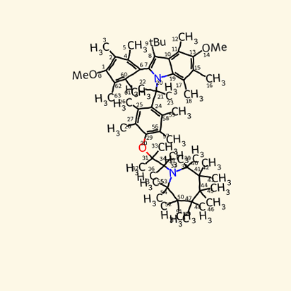 COc1c(C)c(C)c(-c2c(C(C)(C)C)c3c(C)c(OC)c(C)c(C)c3n2C(C)(C)c2c(C)c(C)c(OC(C)(C)C(C)(C)N3C(C)(C)C(C)(C)C(C)(C)C(C)(C)C(C)(C)C3(C)C)c(C)c2C)c(C)c1C